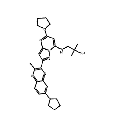 Cc1nc2ccc(N3CCCC3)cc2nc1-c1cc2nc(N3CCCC3)cc(NCC(C)(C)O)n2n1